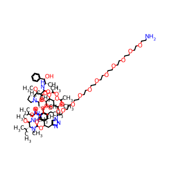 CC[C@@H](C)[C@H]([C@H](CC(=O)N1CCC[C@@H]1[C@@H](OC)[C@H](C)C(=O)N[C@@H](C)[C@H](O)c1ccccc1)OC)N(C)C(=O)[C@H](NC(=O)[C@@H](C(C)C)N(C)C(=O)OC(Cc1cn(CCOCCOCCOCCOCCOCCOCCOCCOCCOCCOCCN)nn1)c1ccc(O[C@@H]2OC(C(=O)OC)[C@@H](OC(C)=O)C(OC(C)=O)[C@@H]2OC(C)=O)c([N+](=O)[O-])c1)C(C)C